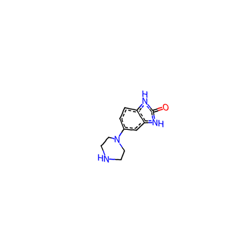 O=c1[nH]c2ccc(N3CCNCC3)cc2[nH]1